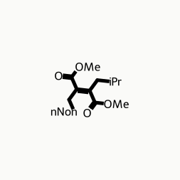 CCCCCCCCCCC(C(=O)OC)=C(CC(C)C)C(=O)OC